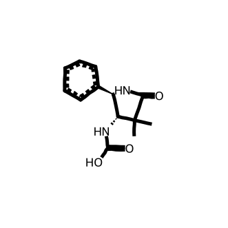 CC1(C)C(=O)N[C@H](c2ccccc2)[C@H]1NC(=O)O